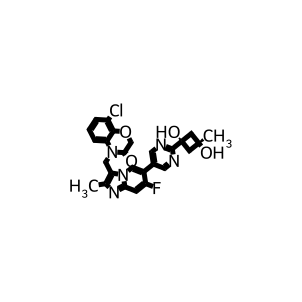 Cc1nc2cc(F)c(-c3cnc([C@]4(O)C[C@@](C)(O)C4)nc3)cn2c1CN1C(=O)COc2c(Cl)cccc21